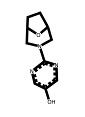 Oc1cnc(N2CC3CCC(C2)O3)nc1